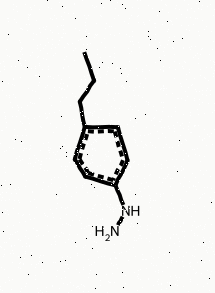 CCCc1ccc(NN)cc1